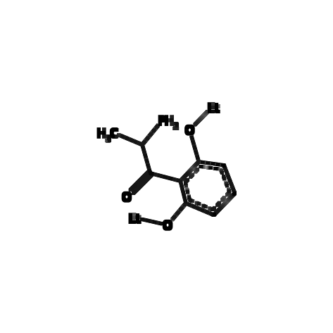 CCOc1cccc(OCC)c1C(=O)C(C)P